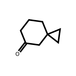 O=C1CCCC2(CC2)C1